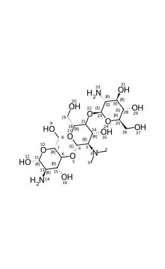 CN(C)[C@H]1[C@H](OC2[C@@H](CO)O[C@@H](O)[C@H](N)[C@H]2O)O[C@H](CO)C(O[C@@H]2O[C@H](CO)[C@@H](O)[C@H](O)[C@H]2N)[C@@H]1O